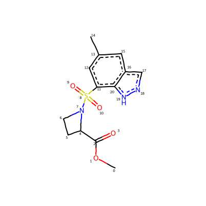 COC(=O)C1CCN1S(=O)(=O)c1cc(C)cc2cn[nH]c12